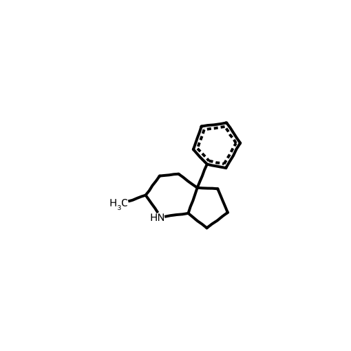 CC1CCC2(c3ccccc3)CCCC2N1